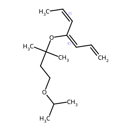 C=C/C=C(\C=C/C)OC(C)(C)CCOC(C)C